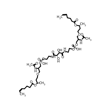 C/C=C\CCCC(=O)O[C@H](C)CCOCC(COP(=O)(O)OCCNC(=O)[C@@H](O)[C@@H](O)C(=O)NCCOP(=O)(O)OCC(COCC[C@@H](C)OC(=O)CCC/C=C\C)NC(C)=O)NC(C)=O